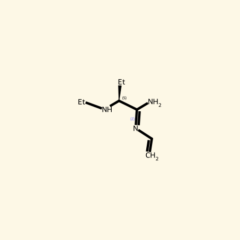 C=C/N=C(\N)[C@H](CC)NCC